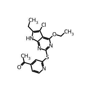 CCOc1nc(Sc2cc(C(C)=O)ccn2)nc2[nH]c(CC)c(Cl)c12